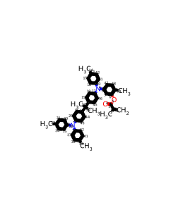 C=C(C)C(=O)Oc1cc(N(c2ccc(C)cc2)c2ccc(C(C)(C)c3ccc(N(c4ccc(C)cc4)c4ccc(C)cc4)cc3)cc2)ccc1C